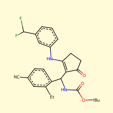 CCc1cc(C#N)ccc1C(NC(=O)OC(C)(C)C)C1=C(Nc2cccc(C(F)F)c2)CCC1=O